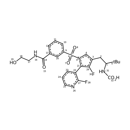 CC(C)(C)C(Cc1cn(S(=O)(=O)c2cccc(C(=O)NCCO)c2)c(-c2cccnc2F)c1F)NC(=O)O